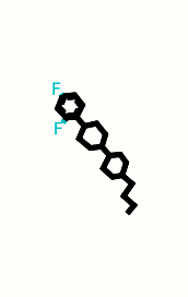 CCCCC1CCC(C2CCC(c3ccc(F)cc3F)CC2)CC1